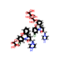 Clc1ccc2c(c1)N1O[C@@H](CN3CCNCC3)C[C@@H]1c1ccccc1O2.Clc1ccc2c(c1)N1O[C@@H](CN3CCNCC3)C[C@@H]1c1ccccc1O2.O=C(O)C(=O)O.O=C(O)C(=O)O.O=C(O)C(=O)O